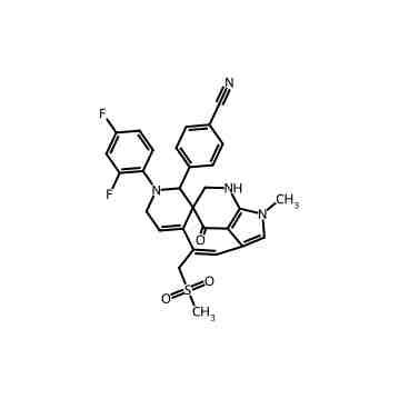 Cn1cc2c3c1NCC1(C3=O)C(=CCN(c3ccc(F)cc3F)C1c1ccc(C#N)cc1)C(CS(C)(=O)=O)=C2